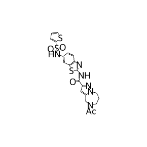 CC(=O)N1CCCn2nc(C(=O)Nc3nc4ccc(NS(=O)(=O)c5cccs5)cc4s3)cc2C1